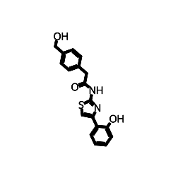 O=C(Cc1ccc(CO)cc1)Nc1nc(-c2ccccc2O)cs1